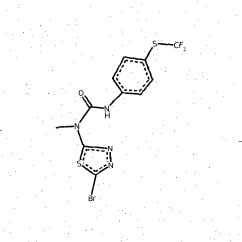 CN(C(=O)Nc1ccc(SC(F)(F)F)cc1)c1nnc(Br)s1